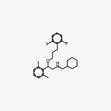 Cc1cccc(C)c1C(CNCC1CCCCC1)OCCCc1c(F)cccc1F